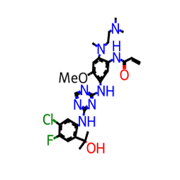 C=CC(=O)Nc1cc(Nc2ncnc(Nc3cc(Cl)c(F)cc3C(C)(C)O)n2)c(OC)cc1N(C)CCN(C)C